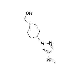 Nc1cnn(C2CCC(CO)CC2)c1